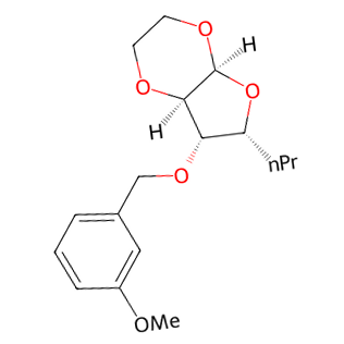 CCC[C@H]1O[C@@H]2OCCO[C@@H]2[C@H]1OCc1cccc(OC)c1